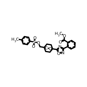 COC(=O)c1ccccc1-c1noc(C23CCC(COS(=O)(=O)c4ccc(C)cc4)(CC2)CO3)n1